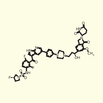 COc1cc([C@@H](O)CCN2CCN(c3ccc(-c4cnc5[nH]cc(C(=O)c6c(F)ccc(NS(=O)(=O)N7CC[C@@H](F)C7)c6F)c5c4)cc3)CC2)cc2c1C(=O)N([C@H]1CCC(=O)NC1=O)C2